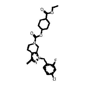 CCOC(=O)C1CCC(OC(=O)N2CCc3c(C)nn(Cc4ccc(Cl)cc4F)c3C2)CC1